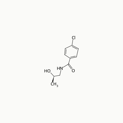 C[C@@H](O)CNC(=O)c1ccc(Cl)cc1